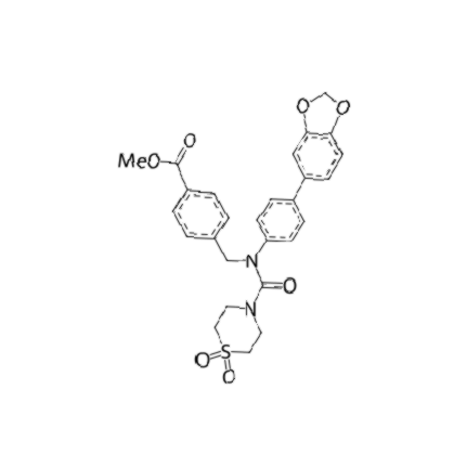 COC(=O)c1ccc(CN(C(=O)N2CCS(=O)(=O)CC2)c2ccc(-c3ccc4c(c3)OCO4)cc2)cc1